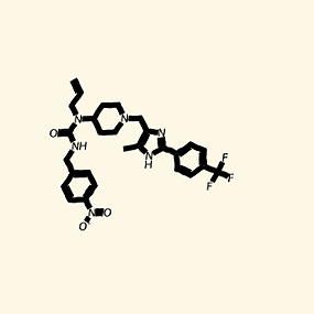 C=CCN(C(=O)NCc1ccc([N+](=O)[O-])cc1)C1CCN(Cc2nc(-c3ccc(C(F)(F)F)cc3)[nH]c2C)CC1